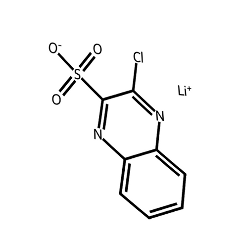 O=S(=O)([O-])c1nc2ccccc2nc1Cl.[Li+]